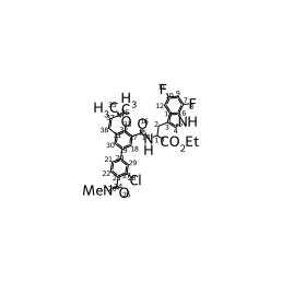 CCOC(=O)C(Cc1c[nH]c2c(F)cc(F)cc12)NC(=O)c1cc(-c2ccc(C(=O)NC)c(Cl)c2)cc2c1OC(C)(C)C=C2